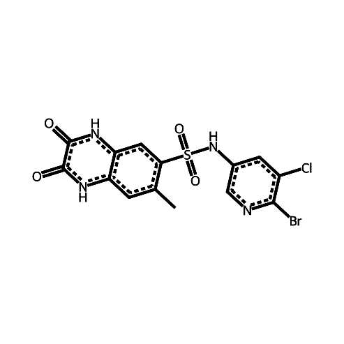 Cc1cc2[nH]c(=O)c(=O)[nH]c2cc1S(=O)(=O)Nc1cnc(Br)c(Cl)c1